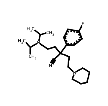 CC(C)N(CCC(C#N)(CCN1CCCCC1)c1ccc(F)cc1)C(C)C